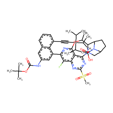 CC1Oc2nc(-c3cc(NC(=O)OC(C)(C)C)cc4cccc(C#C[Si](C(C)C)(C(C)C)C(C)C)c34)c(F)c3nc(S(C)(=O)=O)nc(c23)N2CC3CCC(C12)N3C(=O)O